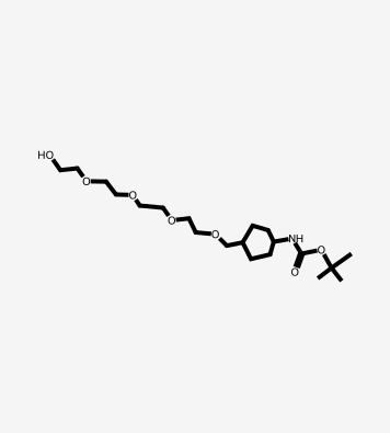 CC(C)(C)OC(=O)NC1CCC(COCCOCCOCCOCCO)CC1